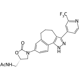 CC(=O)NC[C@H]1CN(c2ccc3c(c2)CCCc2c(-c4ccnc(C(F)(F)F)c4)n[nH]c2-3)C(=O)O1